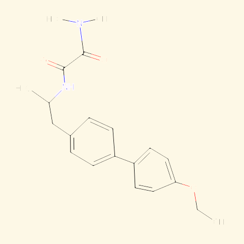 CCOc1ccc(-c2ccc(CC(C)NC(=O)C(=O)N(C)C)cc2)cc1